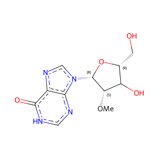 CO[C@H]1C(O)[C@@H](CO)O[C@H]1n1cnc2c(=O)[nH]cnc21